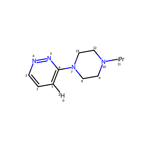 [2H]c1ccnnc1N1CCN(C(C)C)CC1